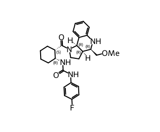 COC[C@@H]1Nc2ccccc2[C@H]2[C@@H]1CCN2C(=O)[C@H]1CCCC[C@H]1NC(=O)Nc1ccc(F)cc1